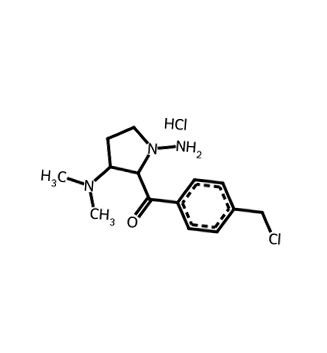 CN(C)C1CCN(N)C1C(=O)c1ccc(CCl)cc1.Cl